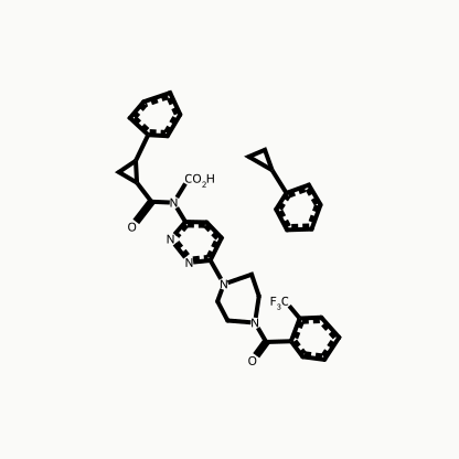 O=C(c1ccccc1C(F)(F)F)N1CCN(c2ccc(N(C(=O)O)C(=O)C3CC3c3ccccc3)nn2)CC1.c1ccc(C2CC2)cc1